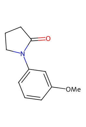 COc1cccc(N2CCCC2=O)c1